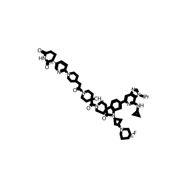 CC(C)n1cnc2cc(-c3ccc4c(c3)N(C3CC(N5CCC[C@@H](F)C5)C3)C(=O)C43CCN(C(=O)C4(C)CCN(C(=O)CC5CCN(c6ccc([C@H]7CCC(=O)NC7=O)cn6)CC5)CC4)CC3)nc(NC3CC3)c21